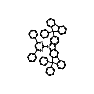 c1ccc(-c2cc(-c3ccccc3)nc(-n3c4cc(C5(c6ccccc6)c6ccccc6-c6ccccc65)ccc4c4cc5c(cc43)C(c3ccccc3)(c3ccccc3)c3ccccc3-5)n2)cc1